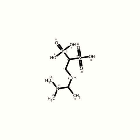 CC(NCC(P(=O)(O)O)S(=O)(=O)O)N(C)C